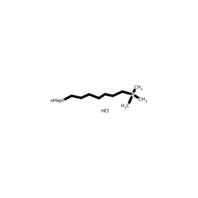 CCCCCCCCCCCCCC[P](C)(C)C.Cl